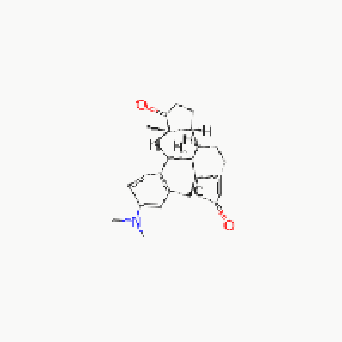 CN(C)c1ccc2c(c1)C[C@]13CCC(=O)C=C1CC[C@@H]1[C@@H]3[C@@H]2C[C@]2(C)C(=O)CC[C@H]12